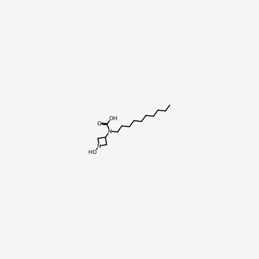 CCCCCCCCCCN(C(=O)O)C1CN(O)C1